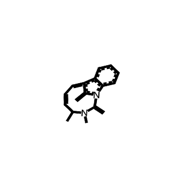 C=C1N(C)C(C)/C=C\C=c2/c(=C)n1c1ccccc21